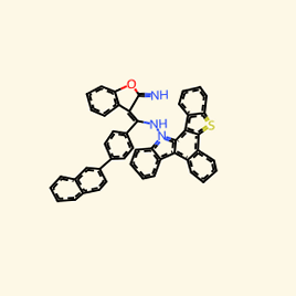 N=C1Oc2ccccc2/C1=C(/Nn1c2ccccc2c2c3ccccc3c3sc4ccccc4c3c21)c1ccc(-c2ccc3ccccc3c2)cc1